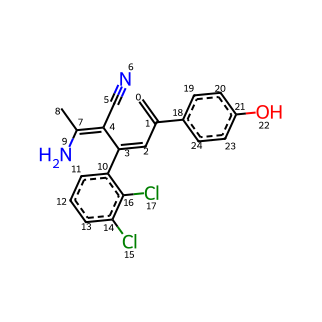 C=C(/C=C(\C(C#N)=C(\C)N)c1cccc(Cl)c1Cl)c1ccc(O)cc1